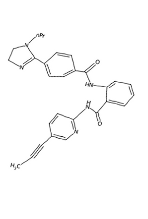 CC#Cc1ccc(NC(=O)c2ccccc2NC(=O)c2ccc(C3=NCCN3CCC)cc2)nc1